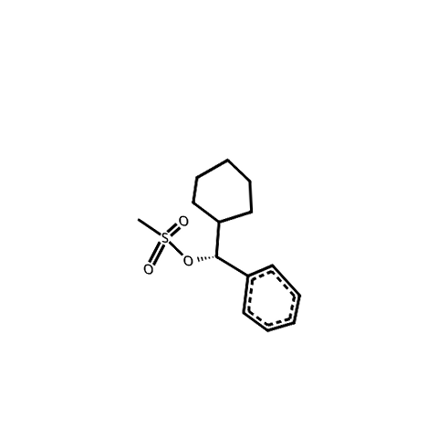 CS(=O)(=O)O[C@@H](c1ccccc1)C1CCCCC1